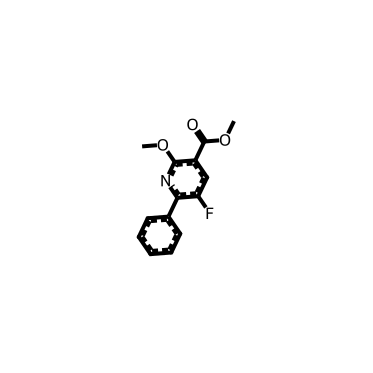 COC(=O)c1cc(F)c(-c2ccccc2)nc1OC